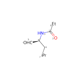 CCC(=O)N[C@H]([C]=O)CC(C)C